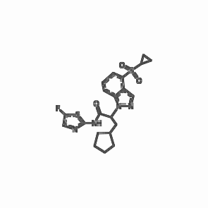 O=C(Nc1ncc(F)s1)C(CC1CCCC1)n1ncc2c(S(=O)(=O)C3CC3)cccc21